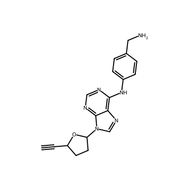 C#CC1CCC(n2cnc3c(Nc4ccc(CN)cc4)ncnc32)O1